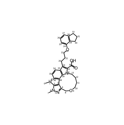 CCc1c2c(nn1C)COCCCCn1c(C(=O)O)c(CCCOc3cccc4c3CCC4)c3ccc(F)c-2c31